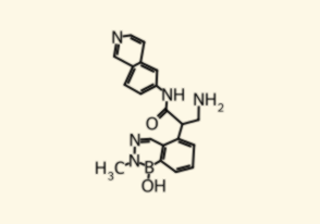 CN1N=Cc2c(cccc2C(CN)C(=O)Nc2ccc3cnccc3c2)B1O